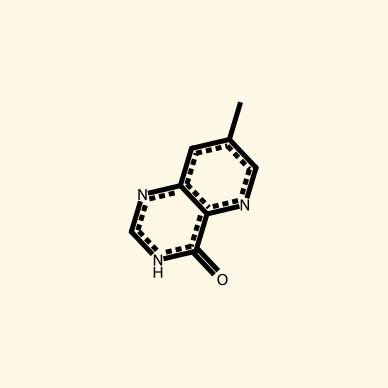 Cc1cnc2c(=O)[nH]cnc2c1